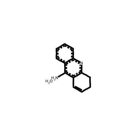 Nc1c2c(nc3ccccc13)CCC=C2.O